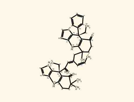 C=C(/C=C(\C=C/C)CC1(C)CCC(=O)C2=C1Nc1ncsc1[C@]2(CC)c1ccccc1)[C@]1(CC)C2=C(CCC(C)(C)C2=O)Nc2ncsc21